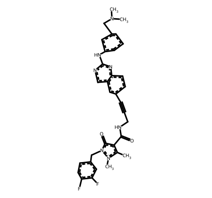 Cc1c(C(=O)NCC#Cc2ccc3nc(Nc4cccc(CN(C)C)c4)ncc3c2)c(=O)n(Cc2ccc(F)c(F)c2)n1C